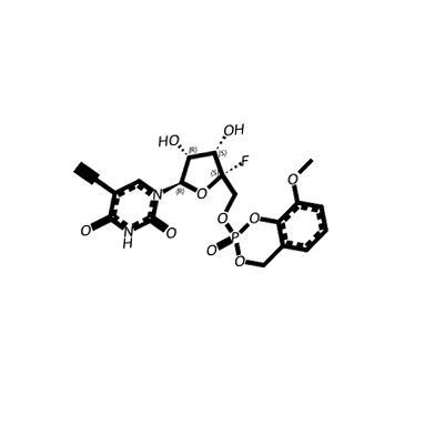 C#Cc1cn([C@@H]2O[C@](F)(COP3(=O)OCc4cccc(OC)c4O3)[C@@H](O)[C@H]2O)c(=O)[nH]c1=O